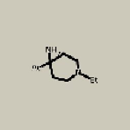 CCN1CCC(N)(C(C)=O)CC1